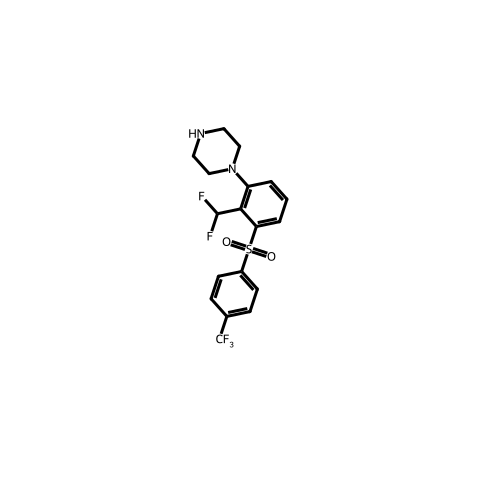 O=S(=O)(c1ccc(C(F)(F)F)cc1)c1cccc(N2CCNCC2)c1C(F)F